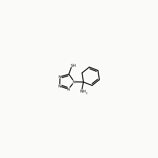 NC1(n2nnnc2S)C=CC=CC1